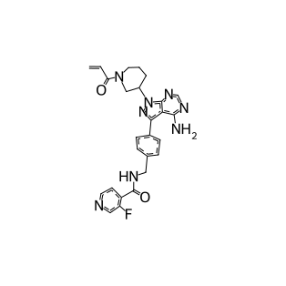 C=CC(=O)N1CCCC(n2nc(-c3ccc(CNC(=O)c4ccncc4F)cc3)c3c(N)ncnc32)C1